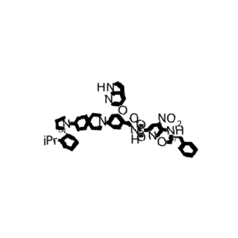 CC(C)c1ccccc1[C@@H]1CCCN1C1CCC2(CC1)CCN(c1ccc(C(=O)NS(=O)(=O)c3cc([N+](=O)[O-])c4c(n3)OC[C@H](Cc3ccccc3)N4)c(Oc3cnc4[nH]ccc4c3)c1)CC2